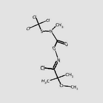 COC(C)(C)C(Cl)=NOC(=O)N(C)SC(Cl)(Cl)Cl